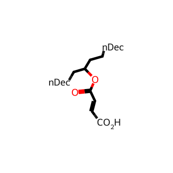 CCCCCCCCCCCCC(CCCCCCCCCCC)OC(=O)C=CC(=O)O